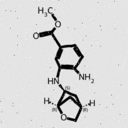 COC(=O)c1ccc(N)c(N[C@H]2C[C@H]3CO[C@@H]2C3)c1